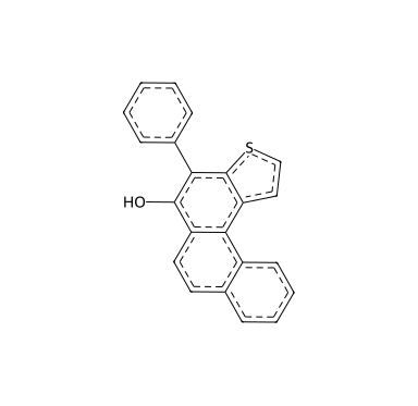 Oc1c(-c2ccccc2)c2sccc2c2c1ccc1ccccc12